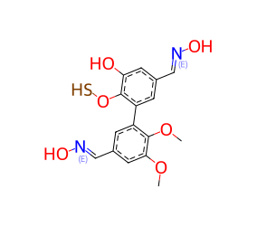 COc1cc(/C=N/O)cc(-c2cc(/C=N/O)cc(O)c2OS)c1OC